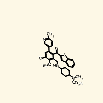 CCOc1c(Cl)cc(-c2ccc(C)nc2)c(C(=O)c2cc3ccccc3s2)c1CNC1CCC(N(C)C(=O)O)CC1